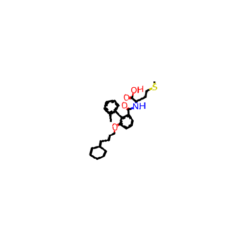 CSCCC(NC(=O)c1cccc(OCCCCC2CCCCC2)c1-c1ccccc1C)C(=O)O